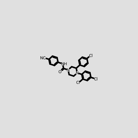 N#Cc1ccc(NC(=O)N2CCN(c3ccc(Cl)cc3Cl)C(c3ccc(Cl)cc3)C2)cc1